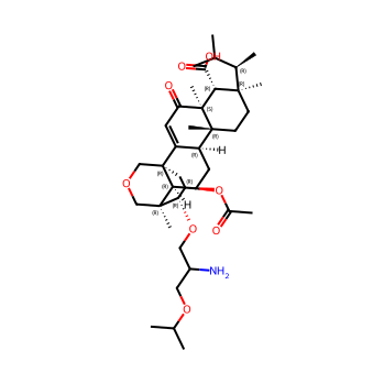 CC(=O)O[C@@H]1C[C@@]23COC[C@@](C)([C@@H]2CC[C@H]2C3=CC(=O)[C@@]3(C)[C@H](C(=O)O)[C@@](C)([C@H](C)C(C)C)CC[C@]23C)[C@H]1OCC(N)COC(C)C